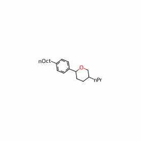 CCCCCCCCc1ccc(C2CCC(CCC)CO2)cc1